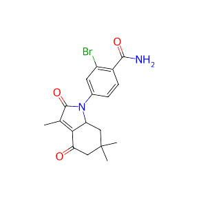 CC1=C2C(=O)CC(C)(C)CC2N(c2ccc(C(N)=O)c(Br)c2)C1=O